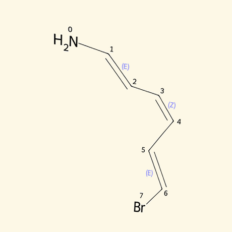 N/C=C/C=C\C=C\Br